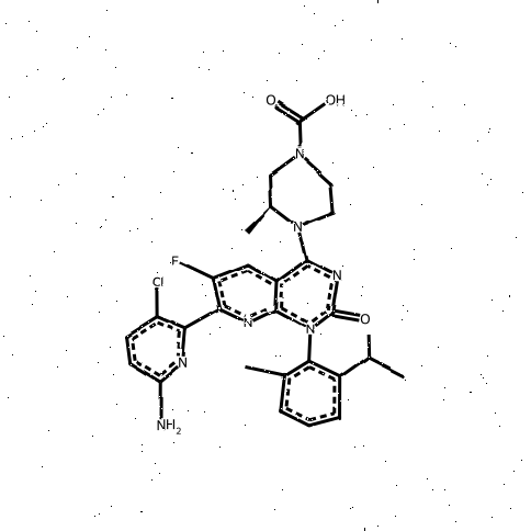 Cc1cccc(C(C)C)c1-n1c(=O)nc(N2CCN(C(=O)O)C[C@@H]2C)c2cc(F)c(-c3nc(N)ccc3Cl)nc21